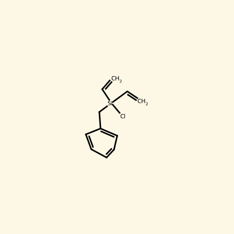 C=C[Si](Cl)(C=C)Cc1ccccc1